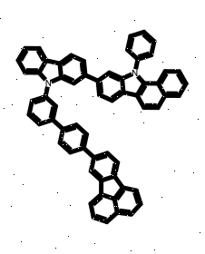 c1ccc(-n2c3cc(-c4ccc5c6ccccc6n(-c6cccc(-c7ccc(-c8ccc9c(c8)-c8cccc%10cccc-9c8%10)cc7)c6)c5c4)ccc3c3ccc4ccccc4c32)cc1